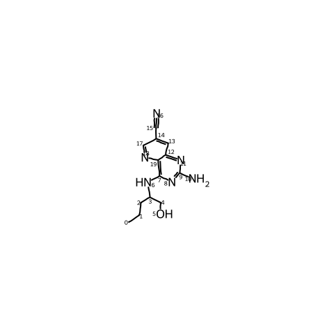 CCCC(CO)Nc1nc(N)nc2cc(C#N)cnc12